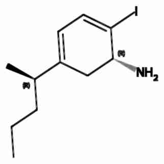 CCC[C@@H](C)C1=CC=C(I)[C@H](N)C1